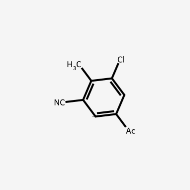 CC(=O)c1[c]c(C#N)c(C)c(Cl)c1